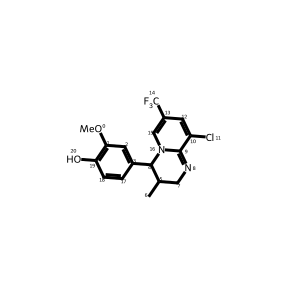 COc1cc(C2C(C)CN=C3C(Cl)=CC(C(F)(F)F)=CN32)ccc1O